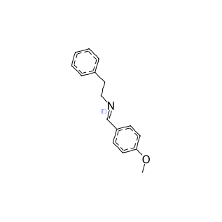 COc1ccc(/C=N/CCc2ccccc2)cc1